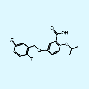 CC(C)Oc1ccc(OCc2cc(F)ccc2F)cc1C(=O)O